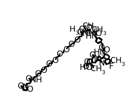 CC[C@@]1(O)C(=O)OCc2c1cc1n(c2=O)Cc2c-1nc1cc(F)c(C)c3c1c2[C@@H](NC(=O)OCc1ccc(NC(=O)[C@H](C)NC(=O)[C@@H](NC(=O)CCOCCOCCOCCOCCOCCOCCOCCOCCNC(=O)CCN2C(=O)C=CC2=O)C(C)C)cc1)CC3